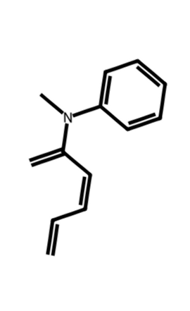 C=C/C=C\C(=C)N(C)c1ccccc1